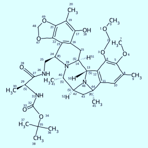 COCOc1c(OC)c(C)cc2c1[C@H]1[C@@H]3Cc4c(O)c(C)c5c(c4[C@H](CNC(=O)[C@H](C)NC(=O)OC(C)(C)C)N3[C@@H](C)[C@@H]3C[C@@]2(C)N31)OCO5